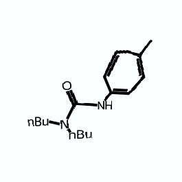 CCCCN(CCCC)C(=O)Nc1ccc(C)cc1